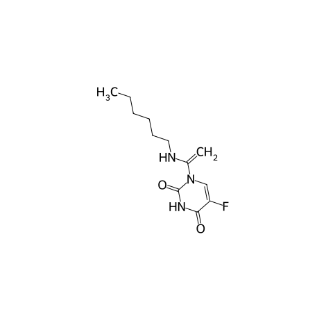 C=C(NCCCCCC)n1cc(F)c(=O)[nH]c1=O